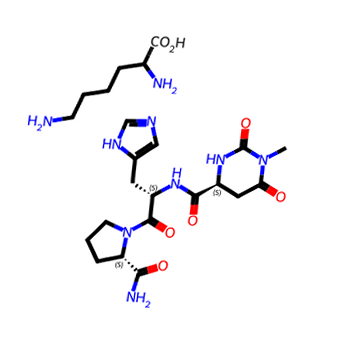 CN1C(=O)C[C@@H](C(=O)N[C@@H](Cc2cnc[nH]2)C(=O)N2CCC[C@H]2C(N)=O)NC1=O.NCCCCC(N)C(=O)O